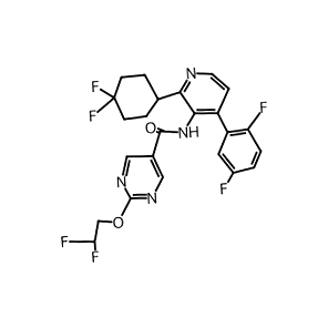 O=C(Nc1c(-c2cc(F)ccc2F)ccnc1C1CCC(F)(F)CC1)c1cnc(OCC(F)F)nc1